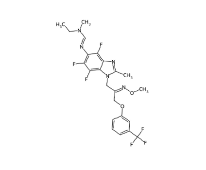 CCN(C)C=Nc1c(F)c(F)c2c(nc(C)n2CC(COc2cccc(C(F)(F)F)c2)=NOC)c1F